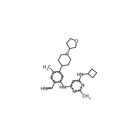 Cc1nc(Nc2cc(C3CCN(C4CCOC4)CC3)c(C)cc2C=N)cc(NC2CCC2)n1